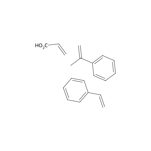 C=C(C)c1ccccc1.C=CC(=O)O.C=Cc1ccccc1